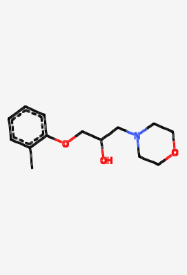 Cc1ccccc1OCC(O)CN1CCOCC1